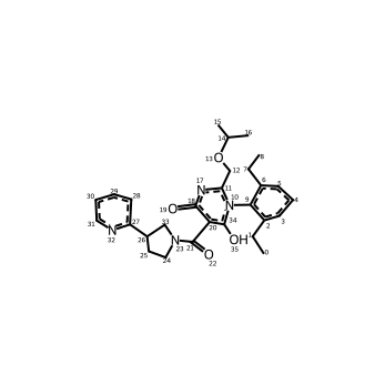 CCc1cccc(CC)c1-n1c(COC(C)C)nc(=O)c(C(=O)N2CCC(c3ccccn3)C2)c1O